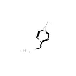 CCCCCCCCc1cc[n+](CCCC)cc1